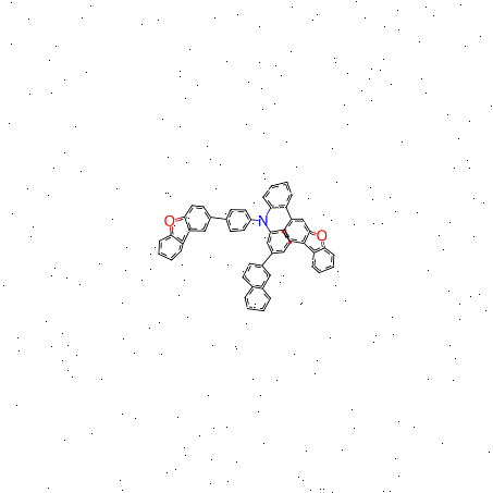 c1cc(-c2ccc3ccccc3c2)cc(N(c2ccc(-c3ccc4oc5ccccc5c4c3)cc2)c2ccccc2-c2ccc3c(c2)oc2ccccc23)c1